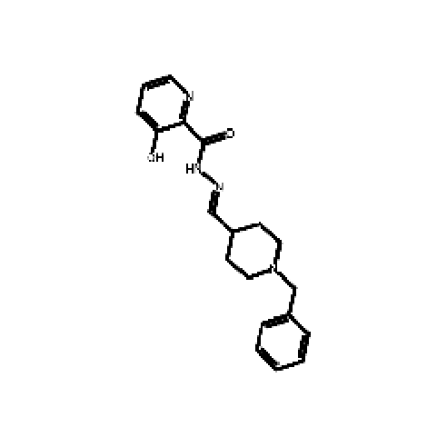 O=C(NN=CC1CCN(Cc2ccccc2)CC1)c1ncccc1O